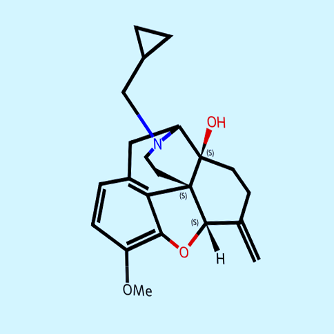 [CH2]Oc1ccc2c3c1O[C@H]1C(=C)CC[C@@]4(O)C(C2)N(CC2CC2)CC[C@]314